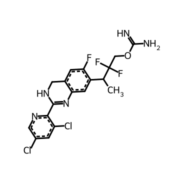 CC(c1cc2c(cc1F)CNC(c1ncc(Cl)cc1Cl)=N2)C(F)(F)COC(=N)N